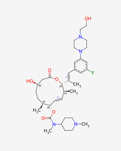 C/C(=C\c1cc(F)cc(N2CCN(CCO)CC2)c1)[C@H]1OC(=O)C[C@H](O)CC[C@H](C)[C@@H](OC(=O)N(C)C2CCN(C)CC2)/C=C/[C@@H]1C